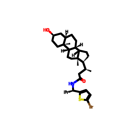 CC(C)[C@@H](NC(=O)C[C@@H](C)[C@H]1CC[C@H]2[C@@H]3CC[C@@H]4C[C@H](O)CC[C@]4(C)[C@H]3CC[C@]12C)c1ccc(Br)s1